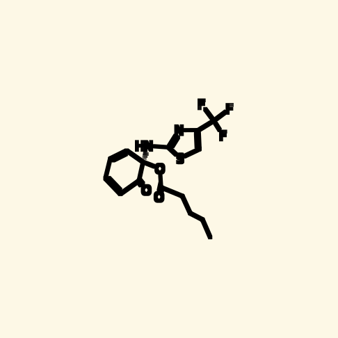 CCCCC(=O)O[C@]1(Nc2nc(C(F)(F)F)cs2)C=CC=CC1=O